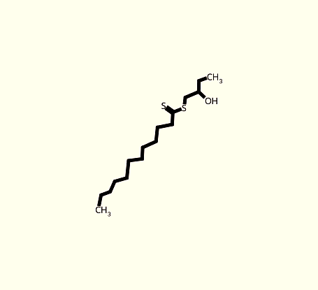 CCCCCCCCCCCC(=S)SCC(O)CC